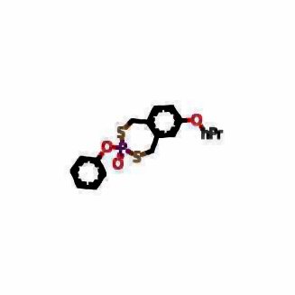 CCCOc1ccc2c(c1)CSP(=O)(Oc1ccccc1)SC2